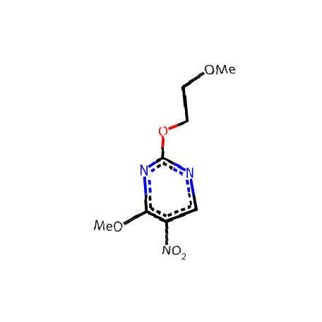 COCCOc1ncc([N+](=O)[O-])c(OC)n1